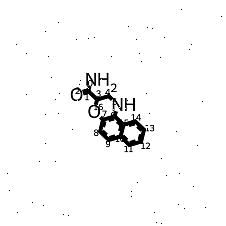 NC(=O)C1CNc2c(ccc3ccccc23)O1